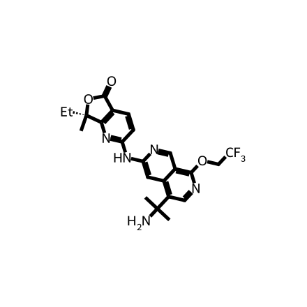 CC[C@]1(C)OC(=O)c2ccc(Nc3cc4c(C(C)(C)N)cnc(OCC(F)(F)F)c4cn3)nc21